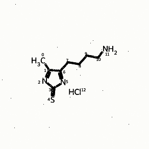 CC1=NC(=S)N=C1CCCCN.Cl